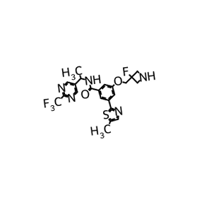 Cc1cnc(-c2cc(OCC3(F)CNC3)cc(C(=O)NC(C)c3cnc(C(F)(F)F)nc3)c2)s1